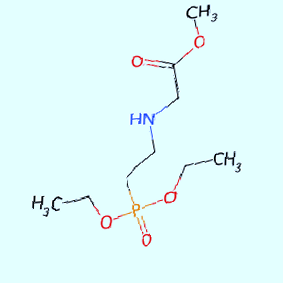 CCOP(=O)(CCNCC(=O)OC)OCC